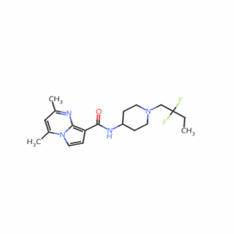 CCC(F)(F)CN1CCC(NC(=O)c2ccn3c(C)cc(C)nc23)CC1